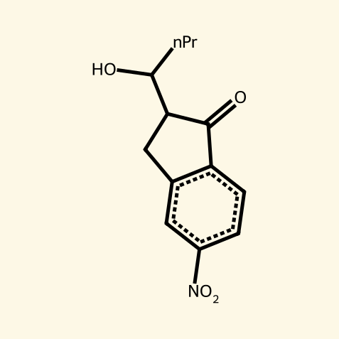 CCCC(O)C1Cc2cc([N+](=O)[O-])ccc2C1=O